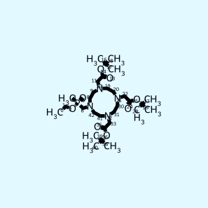 CCOP(C)(=O)CN1CCN(CC(=O)OC(C)(C)C)CCN(CC(=O)OC(C)(C)C)CCN(CC(=O)OC(C)(C)C)CC1